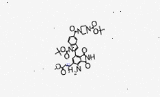 COC(=O)/C=C/c1cc(-c2cc3cc(C(=O)N4CCN(C(=O)OC(C)(C)C)CC4)ccc3n2C(=O)OC(C)(C)C)c2c(c1N)C(=O)NC2=O